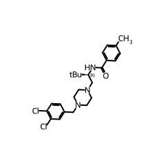 Cc1ccc(C(=O)N[C@@H](CN2CCN(Cc3ccc(Cl)c(Cl)c3)CC2)C(C)(C)C)cc1